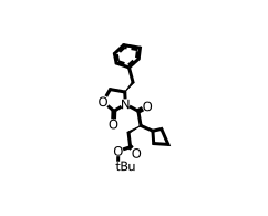 CC(C)(C)OC(=O)C[C@@H](C(=O)N1C(=O)OC[C@H]1Cc1ccccc1)C1CCC1